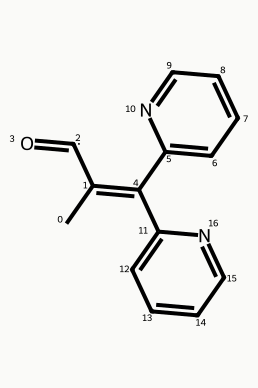 CC([C]=O)=C(c1ccccn1)c1ccccn1